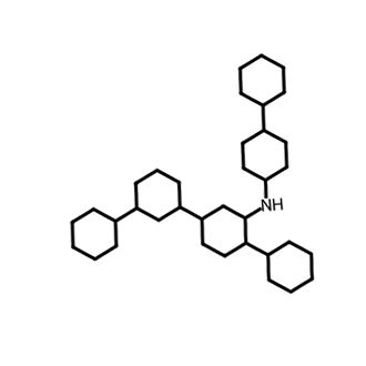 C1CCC(C2CCC(NC3CC(C4CCCC(C5CCCCC5)C4)CCC3C3CCCCC3)CC2)CC1